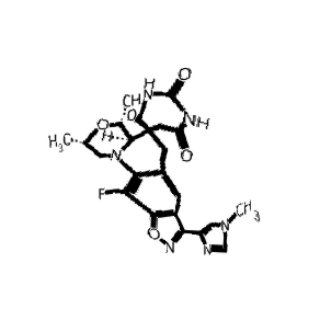 C[C@H]1CN2c3c(cc4c(-c5cn(C)cn5)noc4c3F)CC3(C(=O)NC(=O)NC3=O)[C@@H]2[C@@H](C)O1